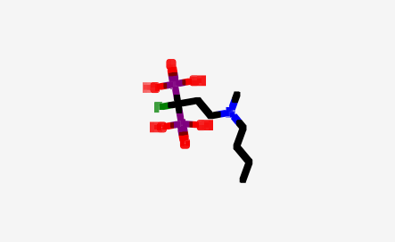 CCCCN(C)CCC(F)(P(=O)(O)O)P(=O)(O)O